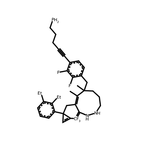 C=C1NNCCCC(C)(Cc2ccc(C#CCCCP)c(F)c2F)/C(C)=C\1CC1(c2cccc(CC)c2CC)C=C1C(F)(F)F